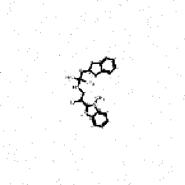 Cn1c(C(O)CNC(C)(C)CC2Cc3ccccc3C2)nc2ccccc21